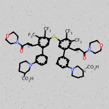 O=C(O)C1CCCN(c2cccc(-c3cc(Sc4cc(-c5cccc(N6CCC[C@@H](C(=O)O)C6)c5)c(/C=C/C(=O)N5CCOCC5)c(C(F)(F)F)c4C(F)(F)F)c(C(F)(F)F)c(C(F)(F)F)c3/C=C/C(=O)N3CCOCC3)c2)C1